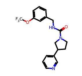 O=C(NCc1cccc(OC(F)(F)F)c1)N1CCC(c2cccnc2)C1